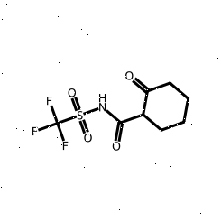 O=C1CCCCC1C(=O)NS(=O)(=O)C(F)(F)F